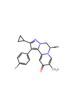 CC(C)[C@@H]1Cn2nc(C3CC3)c(-c3ccc(F)cc3)c2-c2cc(=O)c(C(=O)O)cn21